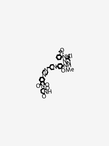 COc1cc(N2CCC(CN3CCN(c4ccc5c(c4)C(=O)N(C4CCC(=O)NC4=O)C5=O)CC3)CC2)ccc1Nc1ncc(Cl)c(Nc2ccccc2P(C)(C)=O)n1